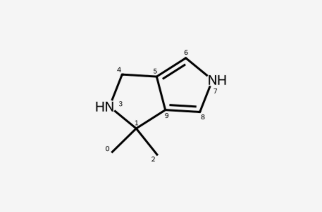 CC1(C)NCc2c[nH]cc21